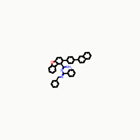 N/C(=N\C(=N/Cc1ccccc1)c1ccccc1)c1c(-c2ccc(-c3ccc4ccccc4c3)cc2)ccc2oc3ccccc3c12